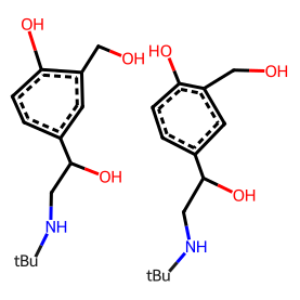 CC(C)(C)NCC(O)c1ccc(O)c(CO)c1.CC(C)(C)NCC(O)c1ccc(O)c(CO)c1